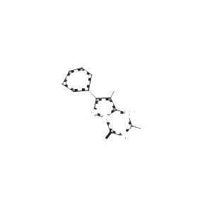 Cc1c(-c2ccccc2)nn2c(=O)[nH]c(S)nc12